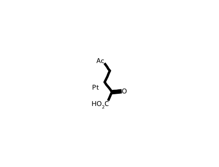 CC(=O)CCC(=O)C(=O)O.[Pt]